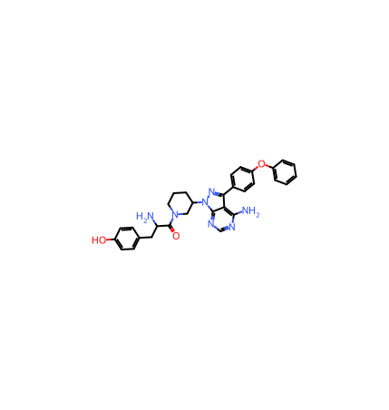 Nc1ncnc2c1c(-c1ccc(Oc3ccccc3)cc1)nn2C1CCCN(C(=O)C(N)Cc2ccc(O)cc2)C1